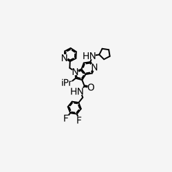 CC(C)c1c(C(=O)NCc2ccc(F)c(F)c2)c2cnc(NC3CCCC3)cc2n1Cc1ccccn1